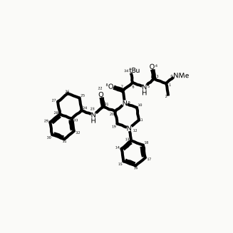 CNC(C)C(=O)NC(C(=O)N1CCN(c2ccccc2)CC1C(=O)NC1CCCc2ccccc21)C(C)(C)C